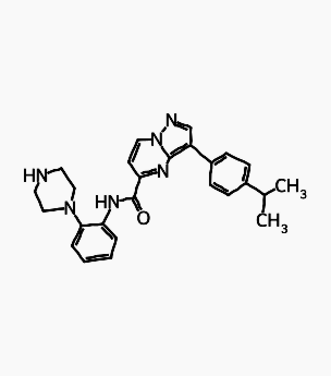 CC(C)c1ccc(-c2cnn3ccc(C(=O)Nc4ccccc4N4CCNCC4)nc23)cc1